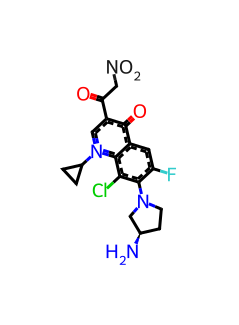 N[C@@H]1CCN(c2c(F)cc3c(=O)c(C(=O)C[N+](=O)[O-])cn(C4CC4)c3c2Cl)C1